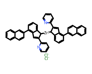 C1=C(c2ccccn2)[CH]([Zr+2][CH]2C(c3ccccn3)=Cc3c(-c4ccc5ccccc5c4)cccc32)c2cccc(-c3ccc4ccccc4c3)c21.[Cl-].[Cl-]